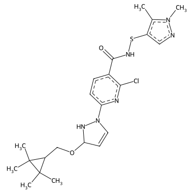 Cc1c(SNC(=O)c2ccc(N3C=CC(OCC4C(C)(C)C4(C)C)N3)nc2Cl)cnn1C